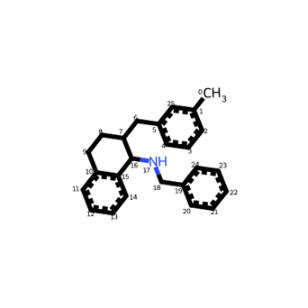 Cc1cccc(CC2CCc3ccccc3C2NCc2ccccc2)c1